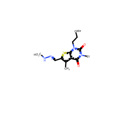 CCn1c(=O)c2c(C)c(/C=N/NC(=O)O)sc2n(CCOC)c1=O